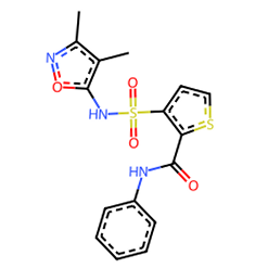 Cc1noc(NS(=O)(=O)c2ccsc2C(=O)Nc2ccccc2)c1C